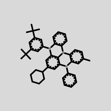 Cc1ccc2c(c1)N(c1ccccc1)c1cc(C3CCCCC3)cc3c1B2c1ccccc1N3c1cc(C(C)(C)C)cc(C(C)(C)C)c1